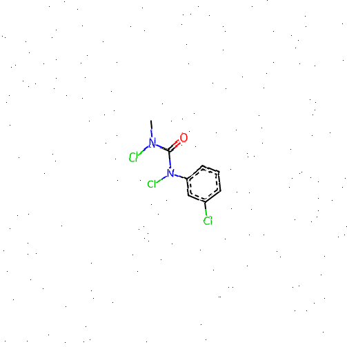 CN(Cl)C(=O)N(Cl)c1cccc(Cl)c1